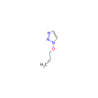 C=CCOn1ccnn1